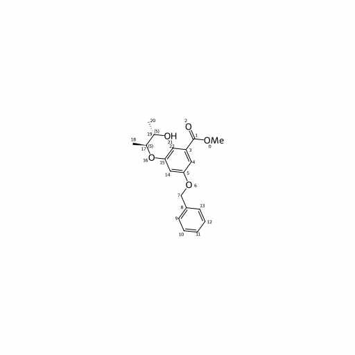 COC(=O)c1cc(OCc2ccccc2)cc(O[C@@H](C)[C@H](C)O)c1